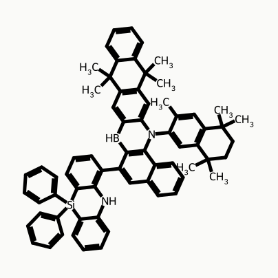 Cc1cc2c(cc1N1c3cc4c(cc3Bc3c(-c5cccc6c5Nc5ccccc5[Si]6(c5ccccc5)c5ccccc5)cc5ccccc5c31)C(C)(C)c1ccccc1C4(C)C)C(C)(C)CCC2(C)C